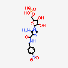 Nc1c(C(=O)NCc2ccc([N+](=O)[O-])cc2)ncn1C1OC(COP(=O)(O)O)C(O)C1O